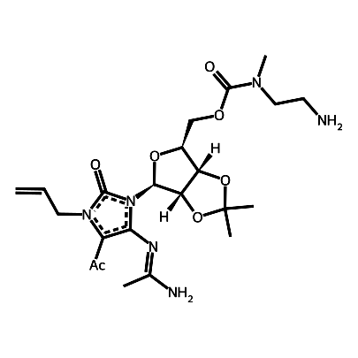 C=CCn1c(C(C)=O)c(/N=C(\C)N)n([C@H]2O[C@@H](COC(=O)N(C)CCN)[C@@H]3OC(C)(C)O[C@@H]32)c1=O